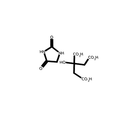 O=C(O)CC(O)(CC(=O)O)C(=O)O.O=C1CNC(=O)N1